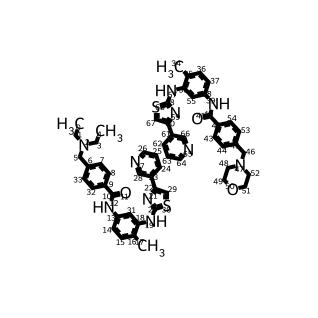 CCN(CC)Cc1ccc(C(=O)Nc2ccc(C)c(Nc3nc(-c4cccnc4)cs3)c2)cc1.Cc1ccc(NC(=O)c2ccc(CN3CCOCC3)cc2)cc1Nc1nc(-c2cccnc2)cs1